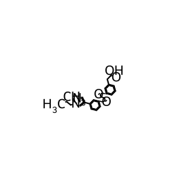 CC(C)Cn1cc(-c2cccc(S(=O)(=O)c3cccc(CC(=O)O)c3)c2)cn1